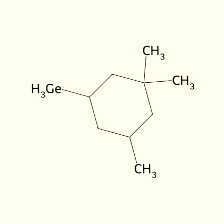 CC1C[CH]([GeH3])CC(C)(C)C1